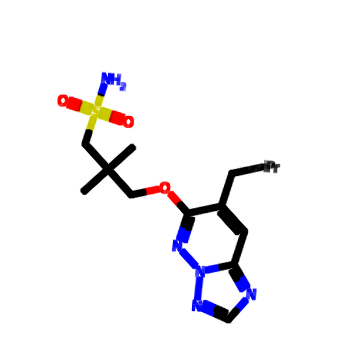 CC(C)Cc1cc2ncnn2nc1OCC(C)(C)CS(N)(=O)=O